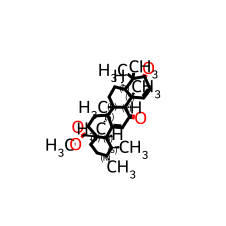 COC(=O)[C@]12CC[C@@H](C)[C@H](C)[C@H]1C1=CC(=O)[C@@H]3[C@@]4(C)C=CC(=O)C(C)(C)[C@@H]4CC[C@@]3(C)[C@]1(C)CC2